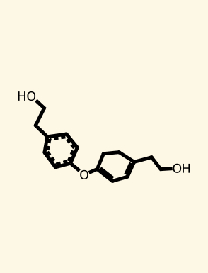 OCCC1=CC=C(Oc2ccc(CCO)cc2)CC1